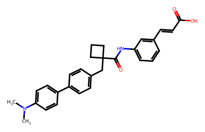 CN(C)c1ccc(-c2ccc(CC3(C(=O)Nc4cccc(/C=C/C(=O)O)c4)CCC3)cc2)cc1